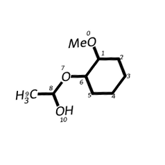 COC1CCCCC1OC(C)O